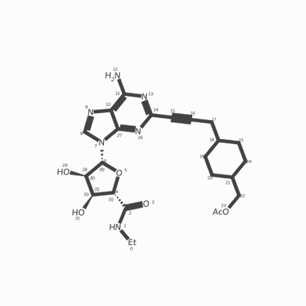 CCNC(=O)[C@H]1O[C@@H](n2cnc3c(N)nc(C#CCC4CCC(COC(C)=O)CC4)nc32)[C@H](O)[C@@H]1O